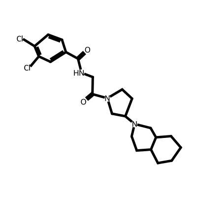 O=C(NCC(=O)N1CCC(N2CCC3CCCCC3C2)C1)c1ccc(Cl)c(Cl)c1